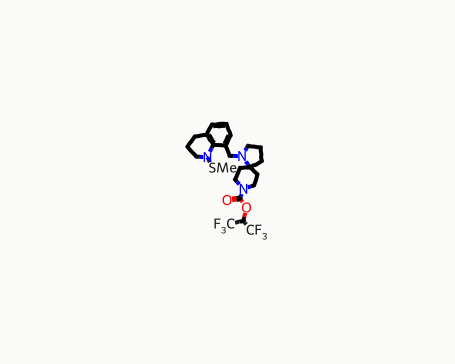 CSN1CCCc2cccc(CN3CCCC34CCN(C(=O)OC(C(F)(F)F)C(F)(F)F)CC4)c21